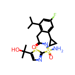 CC(C)c1cc(F)cc(C2CC2)c1CC(=O)N=S(N)(=O)c1ncc(C(C)(C)O)s1